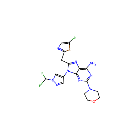 Nc1nc(N2CCOCC2)nc2c1nc(Cc1ncc(Br)s1)n2-c1cnn(C(F)F)c1